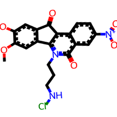 COc1cc2c(cc1O)C(=O)c1c-2n(CCCNCl)c(=O)c2cc([N+](=O)[O-])ccc12